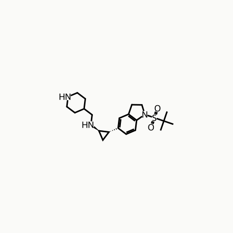 CC(C)(C)S(=O)(=O)N1CCc2cc([C@@H]3C[C@H]3NCC3CCNCC3)ccc21